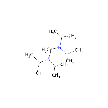 CC(C)[N]([GeH2][N](C(C)C)C(C)C)C(C)C